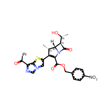 CC(C)C(=O)c1ncn2cc(C3=C(C(=O)OCc4ccc([N+](=O)[O-])cc4)N4C(=O)[C@H]([C@@H](C)O)[C@H]4[C@H]3C)sc12